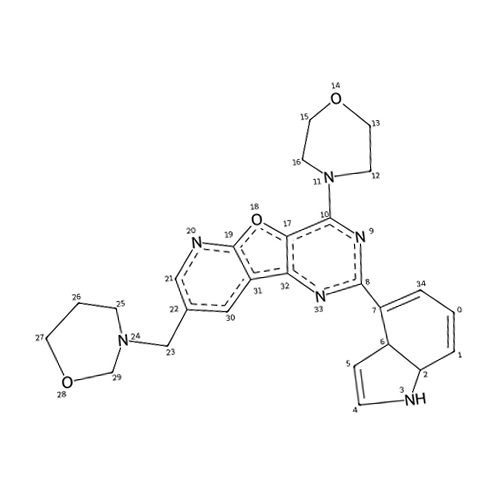 C1=CC2NC=CC2C(c2nc(N3CCOCC3)c3oc4ncc(CN5CCCOC5)cc4c3n2)=C1